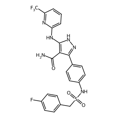 NC(=O)c1c(-c2ccc(NS(=O)(=O)Cc3ccc(F)cc3)cc2)n[nH]c1Nc1cccc(C(F)(F)F)n1